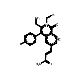 CC(C)Cn1c(CN)c(-c2ccc(F)cc2)c2cc(C=CC(N)=O)ccc2c1=O.Cl